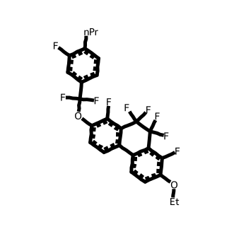 CCCc1ccc(C(F)(F)Oc2ccc3c(c2F)C(F)(F)C(F)(F)c2c-3ccc(OCC)c2F)cc1F